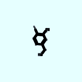 N#Cc1cc(CO)ccc1I